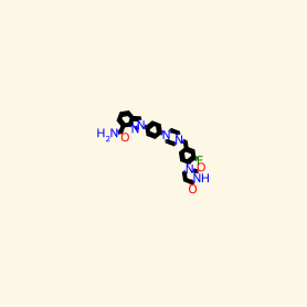 NC(=O)c1cccc2cn(-c3ccc(N4CCN(Cc5ccc(N6CCC(=O)NC6=O)c(F)c5)CC4)cc3)nc12